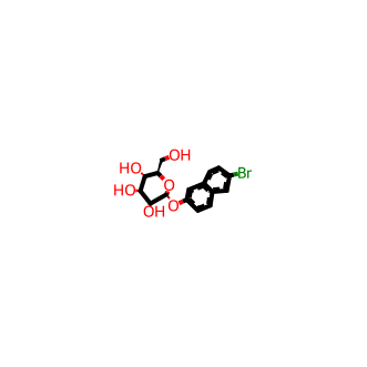 OC[C@H]1O[C@H](Oc2ccc3cc(Br)ccc3c2)[C@@H](O)[C@@H](O)[C@@H]1O